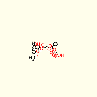 COc1ccc2c3c1O[C@@H]1C(OC(=O)CCC(=O)O[C@H](C(=O)O[C@@H](CC(=O)O)C(=O)O)c4ccccc4)=CC[C@]4(O)[C@@H](CCC[C@@]314)C2